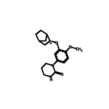 COc1ccc(N2CCCNC2=O)cc1O[C@H]1CC2CCC1C2